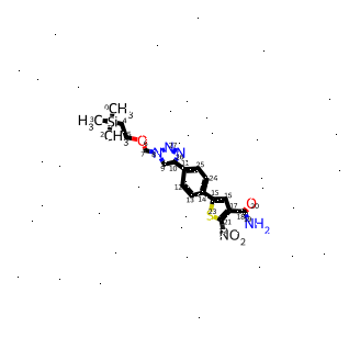 C[Si](C)(C)CCOCN1CC(c2ccc(-c3cc(C(N)=O)c([N+](=O)[O-])s3)cc2)N=N1